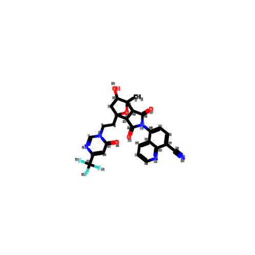 CC12OC(CCn3cnc(C(F)(F)F)cc3=O)(CC1O)C1C(=O)N(c3ccc(C#N)c4ncccc34)C(=O)C12